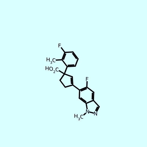 Cc1c(F)cccc1C1(C(=O)O)C=C(c2cc3c(cnn3C)cc2F)CC1